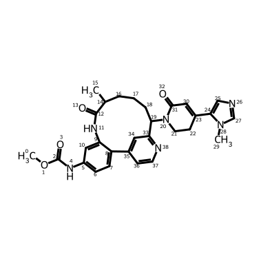 COC(=O)Nc1ccc2c(c1)NC(=O)C(C)CCCC(N1CCC(c3cncn3C)=CC1=O)c1cc-2ccn1